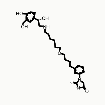 O=C1CN(c2cccc(CCCCOCCCCCCNC[C@@H](O)c3ccc(O)c(CO)c3)c2)C(=O)[N]1